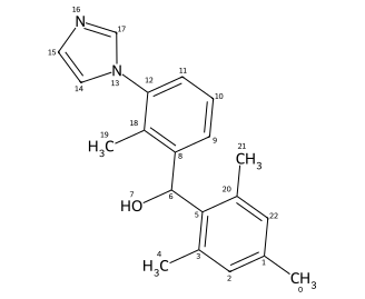 Cc1cc(C)c(C(O)c2cccc(-n3ccnc3)c2C)c(C)c1